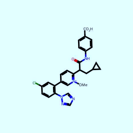 CO[n+]1cc(-c2cc(Cl)ccc2-n2cncn2)ccc1C(CC1CC1)C(=O)Nc1ccc(C(=O)O)cc1